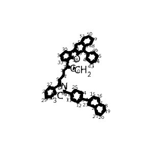 C=C=C(CC/C=C(\N=C(/C)c1ccc(-c2ccc3ccccc3c2)cc1)c1ccccc1)c1cccc2c1oc1c(-c3ccccc3)c3ccccc3cc12